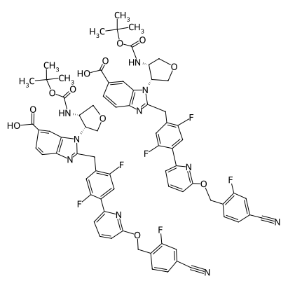 CC(C)(C)OC(=O)N[C@@H]1COC[C@@H]1n1c(Cc2cc(F)c(-c3cccc(OCc4ccc(C#N)cc4F)n3)cc2F)nc2ccc(C(=O)O)cc21.CC(C)(C)OC(=O)N[C@@H]1COC[C@@H]1n1c(Cc2cc(F)c(-c3cccc(OCc4ccc(C#N)cc4F)n3)cc2F)nc2ccc(C(=O)O)cc21